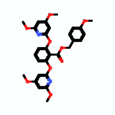 COc1ccc(COC(=O)c2c(Oc3cc(OC)cc(OC)n3)cccc2Oc2cc(OC)cc(OC)n2)cc1